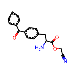 N#CCOC(=O)C(N)Cc1ccc(C(=O)c2ccccc2)cc1